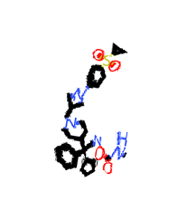 CNC(=O)O[C@@H]1CCC[C@H]1C(C#N)(c1ccccc1)C1CCN(CC2CN(c3ccc(S(=O)(=O)C4CC4)cc3)C2)CC1